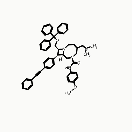 COc1ccc(NC(=O)N2CC(CN(C)C)CCN3[C@H](COC(c4ccccc4)(c4ccccc4)c4ccccc4)[C@H](c4ccc(C#Cc5ccccc5)cc4)[C@@H]3C2)cc1